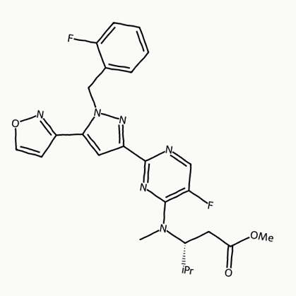 COC(=O)C[C@H](C(C)C)N(C)c1nc(-c2cc(-c3ccon3)n(Cc3ccccc3F)n2)ncc1F